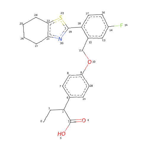 CCC(C(=O)O)c1ccc(OCc2cc(F)ccc2-c2nc3c(s2)CCCC3)cc1